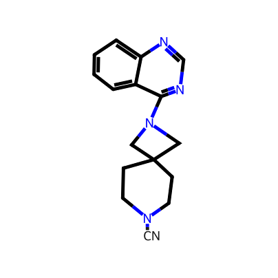 N#CN1CCC2(CC1)CN(c1ncnc3ccccc13)C2